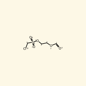 O=COCCOS(=O)(=O)CCl